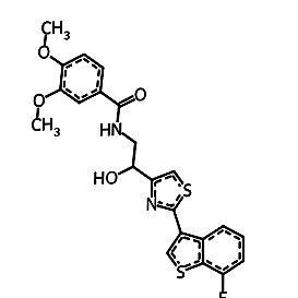 COc1ccc(C(=O)NCC(O)c2csc(-c3csc4c(F)cccc34)n2)cc1OC